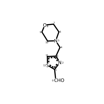 O=Cc1nc(CN2CCOCC2)cs1